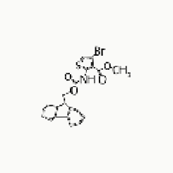 COC(=O)c1c(Br)csc1NC(=O)OCC1c2ccccc2-c2ccccc21